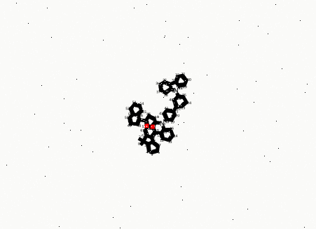 CC1(C)c2ccccc2-c2c(-c3ccccc3N(c3ccc(-c4cccc(-n5c6ccccc6c6ccccc65)c4)cc3)c3ccc(-c4cccc5ccccc45)cc3)cccc21